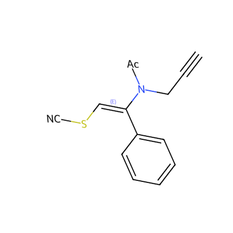 C#CCN(C(C)=O)/C(=C/SC#N)c1ccccc1